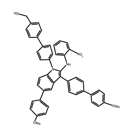 COc1ccc(-c2ccc(-c3c(Nc4ccccc4[N+](=O)[O-])n(-c4ccc(-c5ccc(CO)cc5)cc4)c4ccc(-c5ccc(OC)cc5)cc34)cc2)cc1